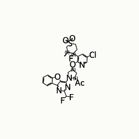 CC(=O)[C@@H]1C[C@H](Oc2ncc(Cl)cc2[C@]2(F)CCS(=O)(=O)C[C@@H]2C)CN1c1nc(C(F)F)nc2c1oc1ccccc12